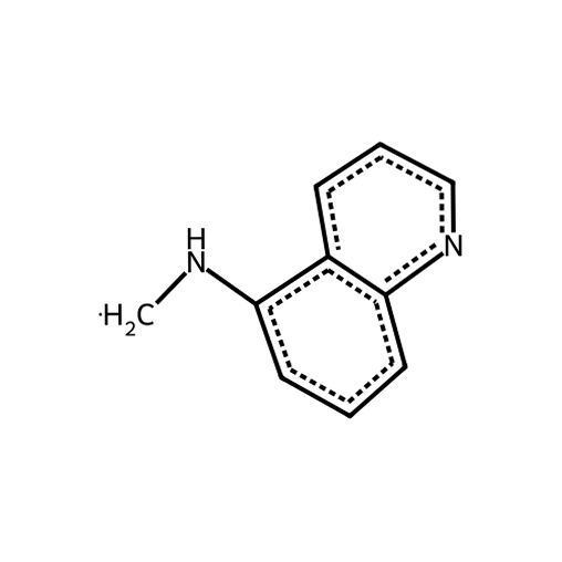 [CH2]Nc1cccc2ncccc12